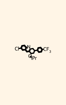 CC(C)OC1CC(c2ccc(C(F)(F)F)cc2)Cc2nc3ccc(Cl)cc3cc21